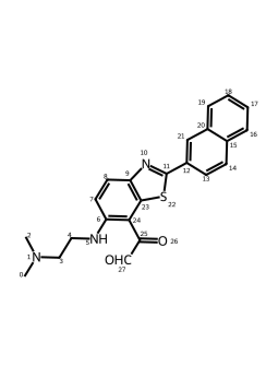 CN(C)CCNc1ccc2nc(-c3ccc4ccccc4c3)sc2c1C(=O)C=O